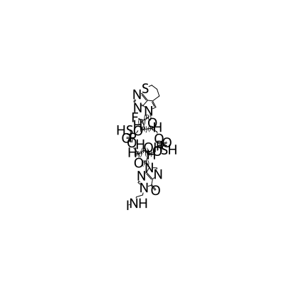 O=c1c2ncn([C@@H]3O[C@@H]4COP(=O)(S)O[C@H]5[C@@H](F)[C@H](n6cc7c8c(ncnc86)SCCC7)O[C@@H]5COP(=O)(S)O[C@@H]3[C@@H]4O)c2ncn1CCNI